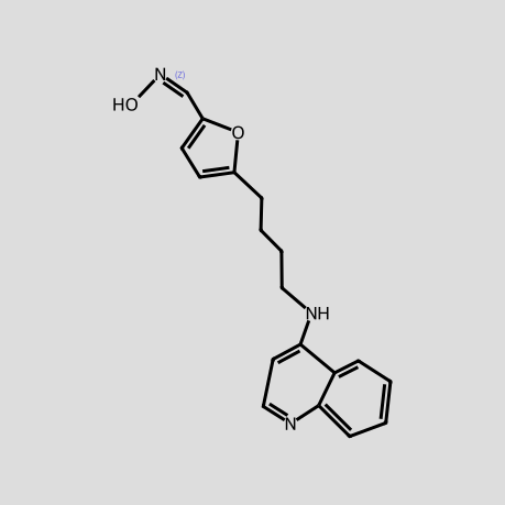 O/N=C\c1ccc(CCCCNc2ccnc3ccccc23)o1